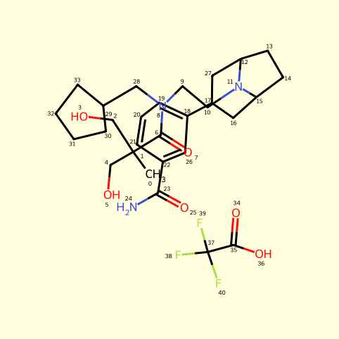 CC(CO)(CO)C(=O)N(CCN1C2CCC1CC(c1cccc(C(N)=O)c1)C2)CC1CCCC1.O=C(O)C(F)(F)F